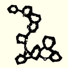 c1ccc(-c2ccc3ccc4ccc(-c5cccc(-n6c7ccccc7c7cc8c(cc76)-c6ccccc6-c6ccccc6O8)c5)nc4c3n2)cc1